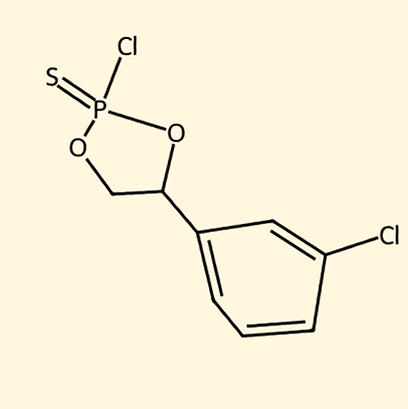 S=P1(Cl)OCC(c2cccc(Cl)c2)O1